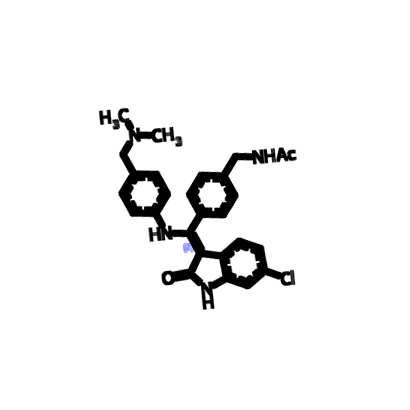 CC(=O)NCc1ccc(/C(Nc2ccc(CN(C)C)cc2)=C2/C(=O)Nc3cc(Cl)ccc32)cc1